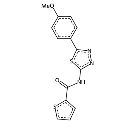 COc1ccc(-c2nnc(NC(=O)c3cccs3)s2)cc1